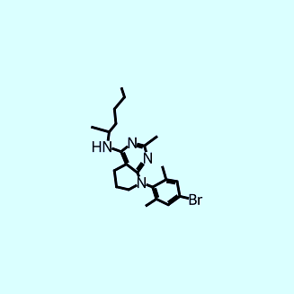 CCCCC(C)Nc1nc(C)nc2c1CCCN2c1c(C)cc(Br)cc1C